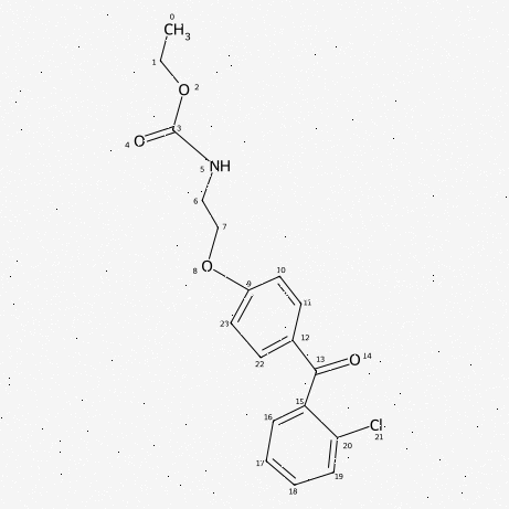 CCOC(=O)NCCOc1ccc(C(=O)c2ccccc2Cl)cc1